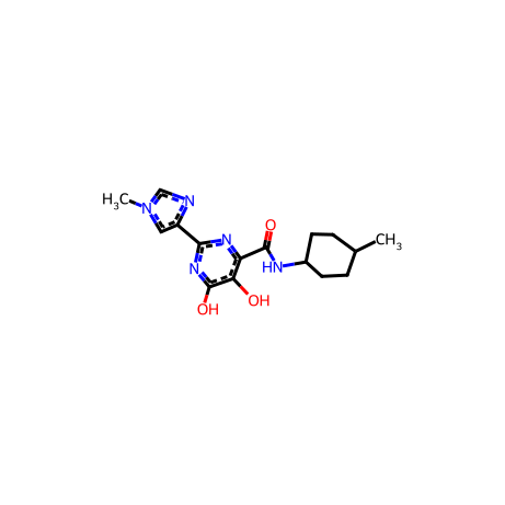 CC1CCC(NC(=O)c2nc(-c3cn(C)cn3)nc(O)c2O)CC1